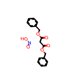 O=C(CC(=O)OCc1ccccc1)OCc1ccccc1.O=NO